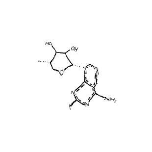 C[C@H]1O[C@@H](n2cnc3c(N)nc(I)nc32)C(O)C1O